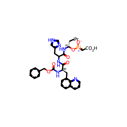 CC(C)C[C@@H](NC(=O)C(Cc1c[nH]cn1)NC(=O)[C@@H](Cc1cccc2cccnc12)NC(=O)OCc1ccccc1)O/[P+]([O-])=C/C(=O)O